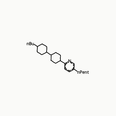 CCCCCc1ccc(C2CCC(C3CCC(CCCC)CC3)CC2)nc1